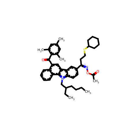 CCCCC(CC)Cn1c2ccc(/C(CCSC3CCCCC3)=N\OC(C)=O)cc2c2cc(C(=O)c3c(C)cc(C)cc3C)c3ccccc3c21